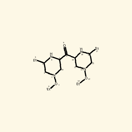 CCON1CC(CC)NC(C(=O)C2CN(OCC)CC(CC)N2)C1